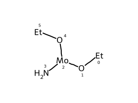 CC[O][Mo]([NH2])[O]CC